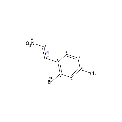 O=[N+]([O-])/C=C/c1ccc(Cl)cc1Br